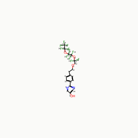 Oc1cnc(-c2ccc(CCOCC(F)(F)OC(F)(F)C(F)(F)OC(F)(F)C(F)(F)F)cc2)nc1